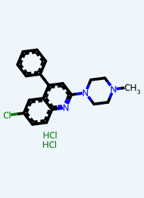 CN1CCN(c2cc(-c3ccccc3)c3cc(Cl)ccc3n2)CC1.Cl.Cl